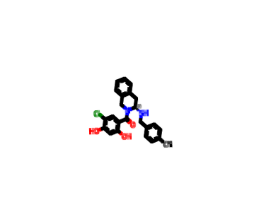 N#Cc1ccc(CN[C@H]2Cc3ccccc3CN2C(=O)c2cc(Cl)c(O)cc2O)cc1